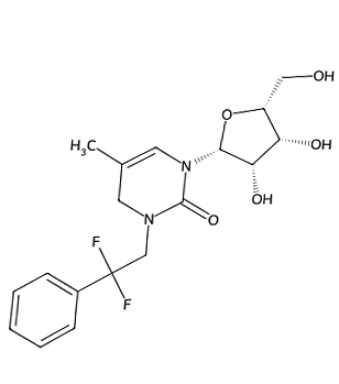 CC1=CN([C@@H]2O[C@H](CO)[C@H](O)[C@@H]2O)C(=O)N(CC(F)(F)c2ccccc2)C1